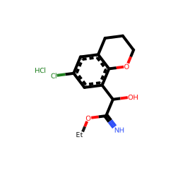 CCOC(=N)C(O)c1cc(Cl)cc2c1OCCC2.Cl